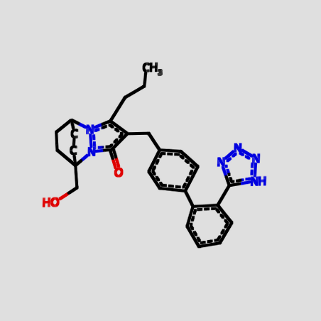 CCCc1c(Cc2ccc(-c3ccccc3-c3nnn[nH]3)cc2)c(=O)n2n1C1CCC2(CO)CC1